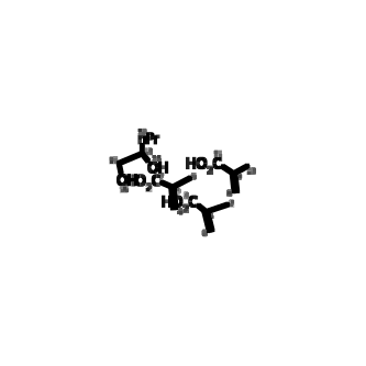 C=C(C)C(=O)O.C=C(C)C(=O)O.C=C(C)C(=O)O.CCCC(O)CO